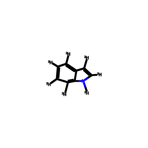 [2H]c1c([2H])c([2H])c2c(c1[2H])c([2H])c([2H])n2[2H]